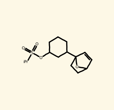 CC(C)S(=O)(=O)OC1CCCC(C23C=CC(CC2)O3)C1